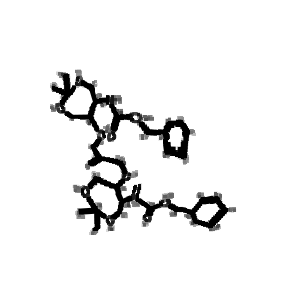 C=C(COC1COC(C)(C)OCC1NC(=O)OCc1ccccc1)COC1COC(C)(C)OCC1NC(=O)OCC1C=CC=CC1